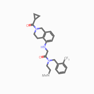 CNCCN(Cc1ccccc1C(F)(F)F)C(=O)CNc1cccc2c1CCN(C(=O)C1CC1)C2